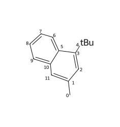 Cc1cc(C(C)(C)C)c2ccccc2c1